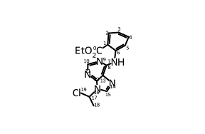 CCOC(=O)c1ccccc1Nc1ncnc2c1ncn2C(C)Cl